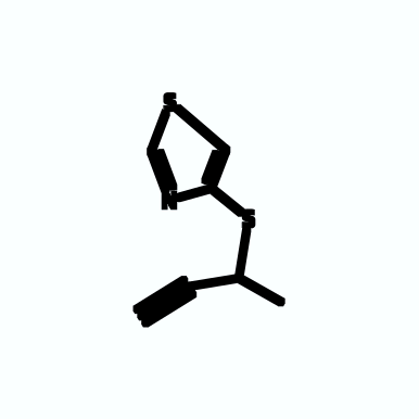 C#CC(C)Sc1cscn1